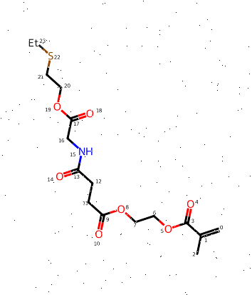 C=C(C)C(=O)OCCOC(=O)CCC(=O)NCC(=O)OCCSCC